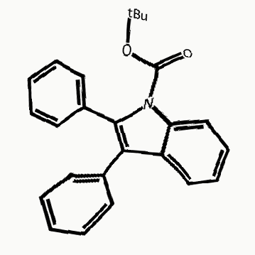 CC(C)(C)OC(=O)n1c(-c2ccccc2)c(-c2ccccc2)c2ccccc21